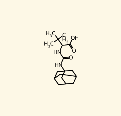 CC(C)(C)C(NC(=O)NC12CC3CC(CC(C3)C1)C2)C(=O)O